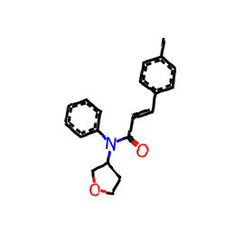 Cc1ccc(/C=C/C(=O)N(c2ccccc2)C2CCOC2)cc1